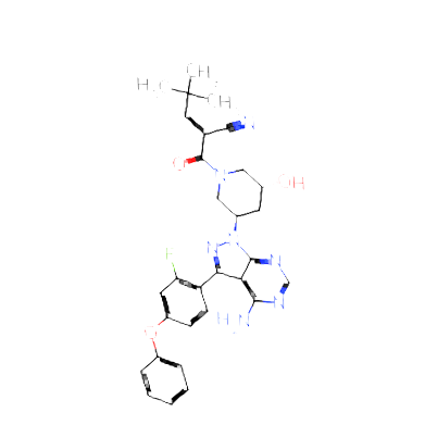 CC(C)(C)/C=C(\C#N)C(=O)N1C[C@H](O)C[C@@H](n2nc(-c3ccc(Oc4ccccc4)cc3F)c3c(N)ncnc32)C1